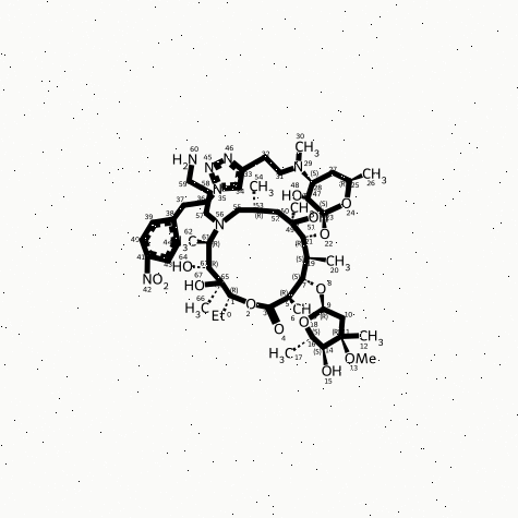 CC[C@H]1OC(=O)[C@H](C)[C@@H](O[C@H]2C[C@@](C)(OC)[C@@H](O)[C@H](C)O2)[C@H](C)[C@@H](O[C@@H]2O[C@H](C)C[C@H](N(C)CCc3cn(CCc4ccc([N+](=O)[O-])cc4)nn3)[C@H]2O)[C@](C)(O)C[C@@H](C)CN(CCCN)[C@H](C)[C@@H](O)[C@]1(C)O